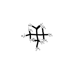 CC(C)(C)C(C(=O)O)(C(C)(C)C)C(C)(C)C